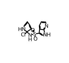 O=S(=O)(NC1(Cl)C=CC=CN1)c1c[nH]c2ncccc12